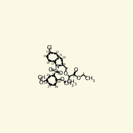 CCOC(=O)C(C)OCc1cc2cc(Cl)ccc2n1S(=O)(=O)c1cc(OC)ccc1OC